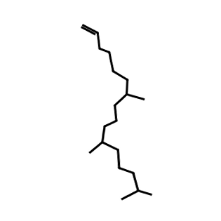 C=CCCCCC(C)CCCC(C)CCCC(C)C